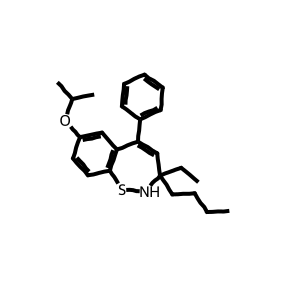 CCCCC1(CC)C=C(c2ccccc2)c2cc(OC(C)C)ccc2SN1